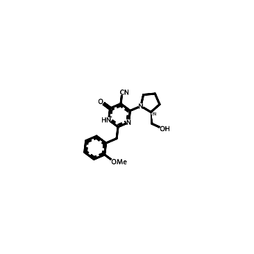 COc1ccccc1Cc1nc(N2CCC[C@H]2CO)c(C#N)c(=O)[nH]1